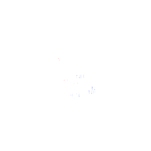 COc1ccc(NC(=O)c2cn[nH]c2N)c(OC)c1